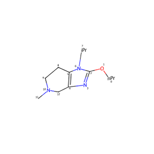 CCCOc1nc2c(n1C(C)C)CCN(C)C2